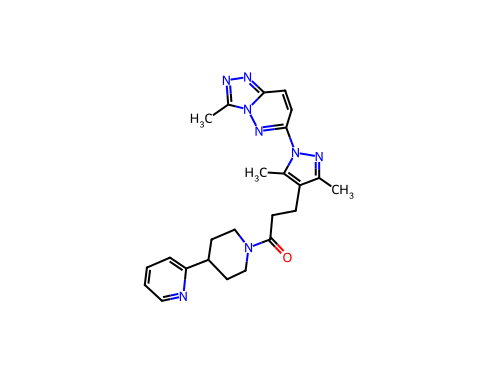 Cc1nn(-c2ccc3nnc(C)n3n2)c(C)c1CCC(=O)N1CCC(c2ccccn2)CC1